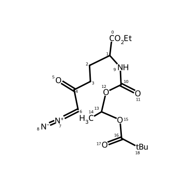 CCOC(=O)C(CCC(=O)C=[N+]=[N-])NC(=O)OC(C)OC(=O)C(C)(C)C